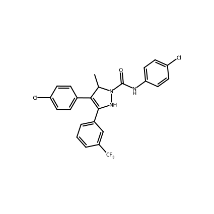 CC1C(c2ccc(Cl)cc2)=C(c2cccc(C(F)(F)F)c2)NN1C(=O)Nc1ccc(Cl)cc1